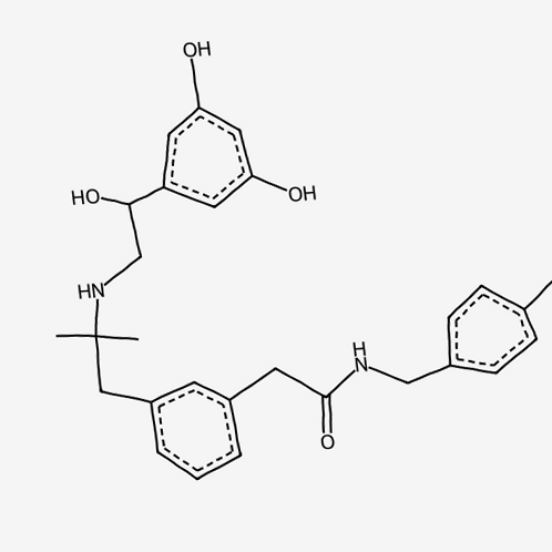 CC(C)(Cc1cccc(CC(=O)NCc2ccc(Cl)cc2)c1)NCC(O)c1cc(O)cc(O)c1